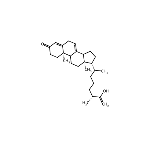 C=C(O)[C@H](C)CCCC(C)[C@H]1CCC2C3=CCC4=CC(=O)CC[C@]4(C)C3CC[C@@]21C